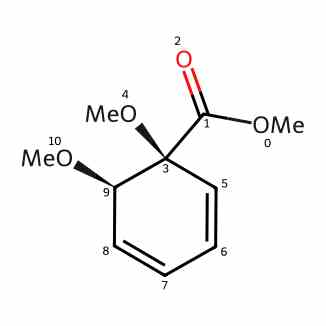 COC(=O)[C@]1(OC)C=CC=C[C@H]1OC